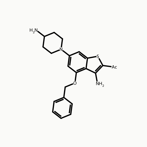 CC(=O)c1sc2cc(N3CCC(N)CC3)cc(OCc3ccccc3)c2c1N